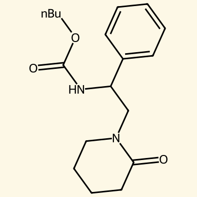 CCCCOC(=O)NC(CN1CCCCC1=O)c1ccccc1